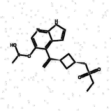 C=C(c1c(OB(C)O)cnc2[nH]ccc12)[C@H]1C[C@@H](CS(=O)(=O)CC)C1